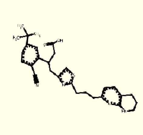 CC(C)(C)c1ccc(C#N)c(C(CC(=O)O)Cc2csc(CCCc3ccc4c(n3)NCCC4)n2)c1